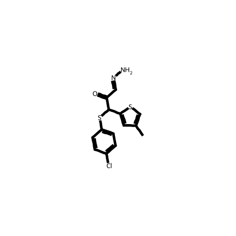 Cc1csc(C(Sc2ccc(Cl)cc2)C(=O)C=NN)c1